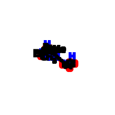 CC[C@@H]1C(=O)N(C)c2cnc(Nc3ccc(C(=O)NCCCNCCCCCCCC(=O)Nc4cccc5c4CN(C4CCC(=O)NC4=O)C5=O)cc3OC)nc2N1Cc1ccc(Br)cc1